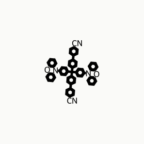 N#Cc1ccc(-c2ccc(C(c3ccc(-c4ccc(C#N)cc4)cc3)(c3ccc(N4c5ccccc5Oc5ccccc54)cc3)c3ccc(N4c5ccccc5Oc5ccccc54)cc3)cc2)cc1